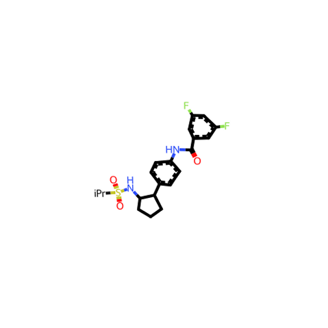 CC(C)S(=O)(=O)NC1CCCC1c1ccc(NC(=O)c2cc(F)cc(F)c2)cc1